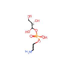 NCCOP(=O)(O)OC(O)[C@@H](O)CO